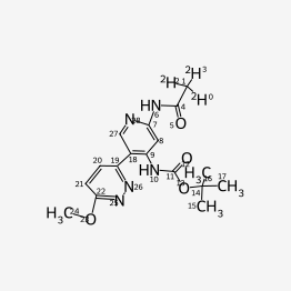 [2H]C([2H])([2H])C(=O)Nc1cc(NC(=O)OC(C)(C)C)c(-c2ccc(OC)nn2)cn1